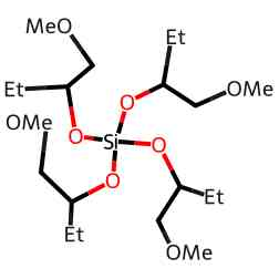 CCC(COC)O[Si](OC(CC)COC)(OC(CC)COC)OC(CC)COC